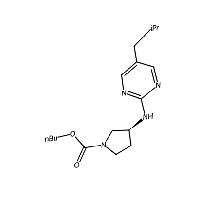 CCCCOC(=O)N1CC[C@H](Nc2ncc(CC(C)C)cn2)C1